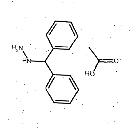 CC(=O)O.NNC(c1ccccc1)c1ccccc1